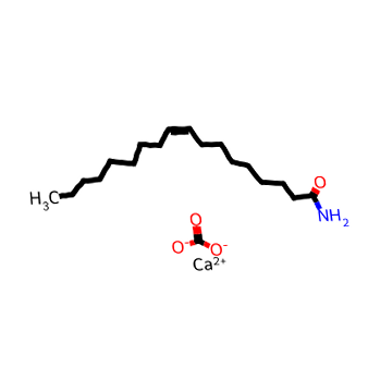 CCCCCCCC/C=C\CCCCCCCC(N)=O.O=C([O-])[O-].[Ca+2]